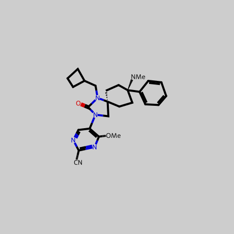 CN[C@]1(c2ccccc2)CC[C@]2(CC1)CN(c1cnc(C#N)nc1OC)C(=O)N2CC1CCC1